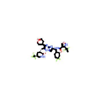 CC(F)(F)c1nocc1C(=O)N[C@H](c1cn2nc(C[C@H]3C[C@@H](C(F)(F)F)CNC3=O)c(C3CCOCC3)nc2n1)C1CCC(F)(F)CC1